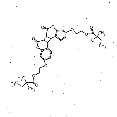 CCC(C)(C)C(=O)OCCOc1ccc2c(c1)OC(=O)C1C3C(=O)Oc4cc(OCCOC(=O)C(C)(C)CC)ccc4C3C21